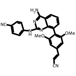 COc1cc(C=CC#N)cc(OC)c1-c1cccc2c(N)nc(Nc3ccc(C#N)cc3)nc12